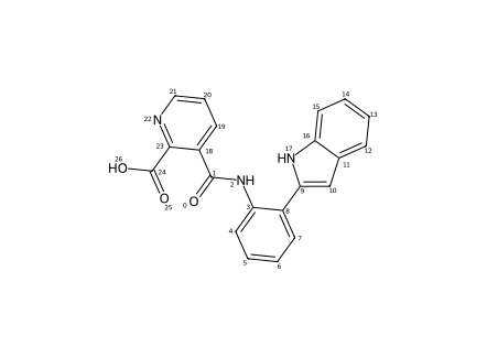 O=C(Nc1ccccc1-c1cc2ccccc2[nH]1)c1cccnc1C(=O)O